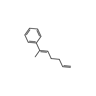 C=CC[CH]C=C(C)c1ccccc1